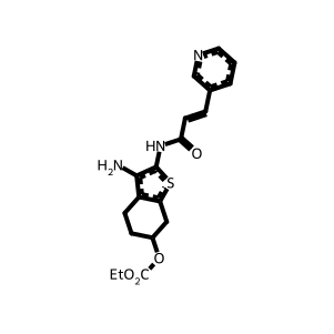 CCOC(=O)OC1CCc2c(sc(NC(=O)/C=C/c3cccnc3)c2N)C1